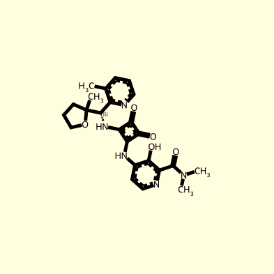 Cc1cccnc1[C@H](Nc1c(Nc2ccnc(C(=O)N(C)C)c2O)c(=O)c1=O)C1(C)CCCO1